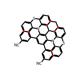 N#Cc1cccc(-c2cc(-c3cccc(C#N)c3)c(N3c4ccccc4Sc4ccccc43)c(C3CCCCC3)c2N2c3ccccc3Sc3ccccc32)c1